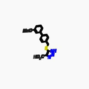 COc1cccc(-c2ccc(CSc3[nH]nnc3C(=O)O)cc2)c1